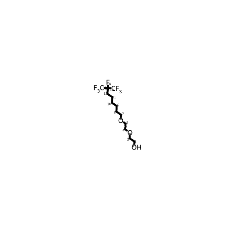 OCCOCCOCCCCCCC(F)(C(F)(F)F)C(F)(F)F